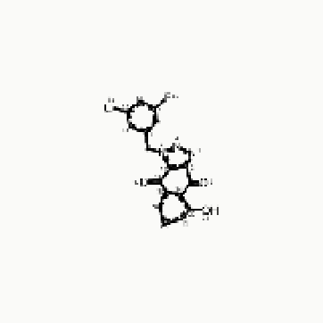 O=C1c2nnn(Cc3cc(F)cc(Cl)c3)c2C(=O)c2cccc(O)c21